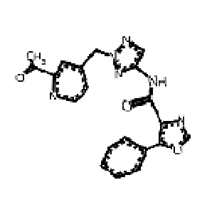 CC(=O)c1cc(Cn2ncc(NC(=O)c3ncoc3-c3ccccc3)n2)ccn1